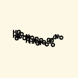 O=C(N[C@@H]1CCCN(C(=O)COc2cccc(C(C(=O)OCC3CCN(Cc4ccccc4)CC3)c3ccccc3)c2)C1)c1ccc(CNC[C@H](O)c2ccc(O)c3[nH]c(=O)ccc23)cc1